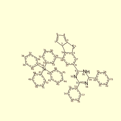 C1=CC2C(=C1)Sc1cc(C3=NC(c4ccccc4)=NC(c4ccccc4)N3)cc(-c3cccc([Si](c4ccccc4)(c4ccccc4)c4ccccc4)c3)c12